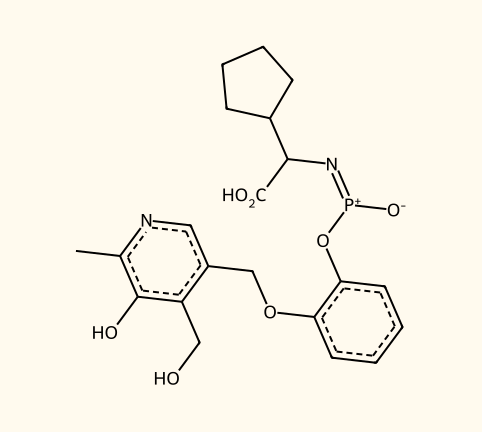 Cc1ncc(COc2ccccc2O/[P+]([O-])=N\C(C(=O)O)C2CCCC2)c(CO)c1O